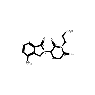 Nc1cccc2c1CN(C1CCC(=O)N(CCC(=O)O)C1=O)C2=O